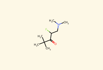 CN(C)CC(F)C(=O)C(C)(C)C